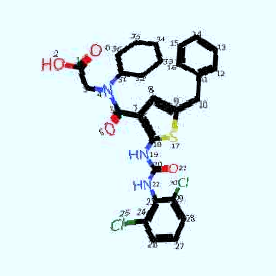 O=C(O)CN(C(=O)c1cc(Cc2ccccc2)sc1NC(=O)Nc1c(Cl)cccc1Cl)C1CCCCC1